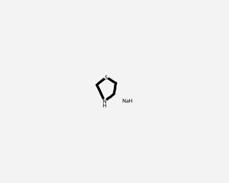 C1CSCN1.[NaH]